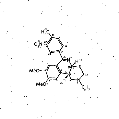 COc1cc2c(cc1OC)[C@H]1CN(C)CC[C@H]1N=C2c1ccc(C)c([N+](=O)[O-])c1